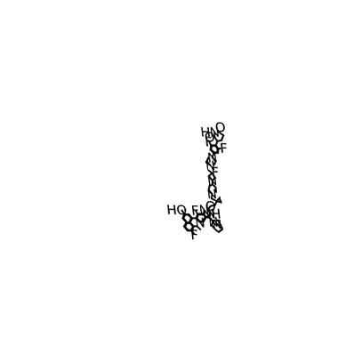 CCc1c(F)ccc2cc(O)cc(-c3ncc4c(N5CC6CCC(C5)N6)nc(OCC5(CN6CCC(N7CC(F)(CN8CCN(c9cc(F)c(C%10CCC(=O)NC%10=O)c(F)c9)CC8)C7)CC6)CC5)nc4c3F)c12